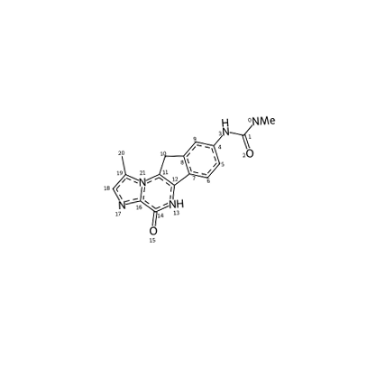 CNC(=O)Nc1ccc2c(c1)Cc1c-2[nH]c(=O)c2ncc(C)n12